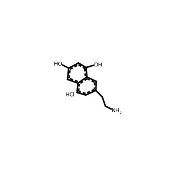 Cl.NCCc1ccc2cc(O)cc(O)c2c1